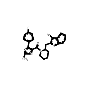 Cc1nc(C(=O)N2CCCCC2Cc2oc3ccccc3c2Br)c(-c2ccc(F)cc2)s1